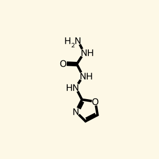 NNC(=O)NNc1ncco1